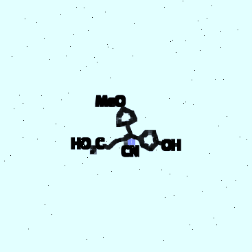 COc1ccc(/C(=C(/C#N)CCC(=O)O)c2ccc(O)cc2)cc1